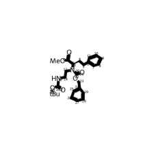 COC(=O)[C@@H](CCc1ccccc1)N(CCNC(=O)OC(C)(C)C)C(=O)OCc1ccccc1